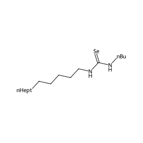 CCCCCCCCCCCCNC(=[Se])NCCCC